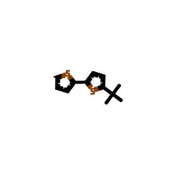 CC(C)(C)c1ccc(-c2cc[c]s2)s1